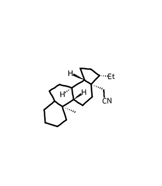 CC[C@H]1CC[C@H]2[C@@H]3CCC4CCCC[C@]4(C)[C@H]3CC[C@]12CC#N